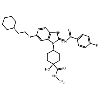 CNC(=O)[C@]1(O)CC[C@@H](n2/c(=N/C(=O)c3ccc(F)cc3)[nH]c3cnc(OCCN4CCCCC4)cc32)CC1